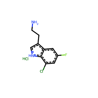 Cl.NCCc1c[nH]c2c(Cl)cc(F)cc12